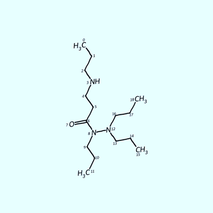 CCCNCCC(=O)N(CCC)N(CCC)CCC